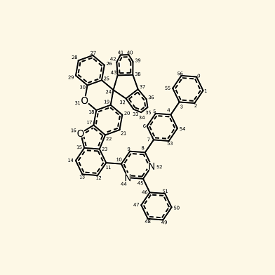 c1ccc(-c2ccc(-c3cc(-c4cccc5oc6c7c(ccc6c45)C4(c5ccccc5O7)c5ccccc5-c5ccccc54)nc(-c4ccccc4)n3)cc2)cc1